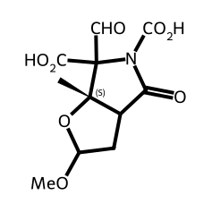 COC1CC2C(=O)N(C(=O)O)C(C=O)(C(=O)O)[C@@]2(C)O1